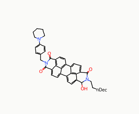 CCCCCCCCCCCCN1C(=O)c2ccc3c4ccc5c6c(ccc(c7ccc(c2c37)C1O)c64)C(=O)N(Cc1ccc(N2CCCCC2)cc1)C5=O